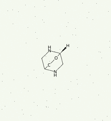 C1N[C@@H]2CNC1CO2